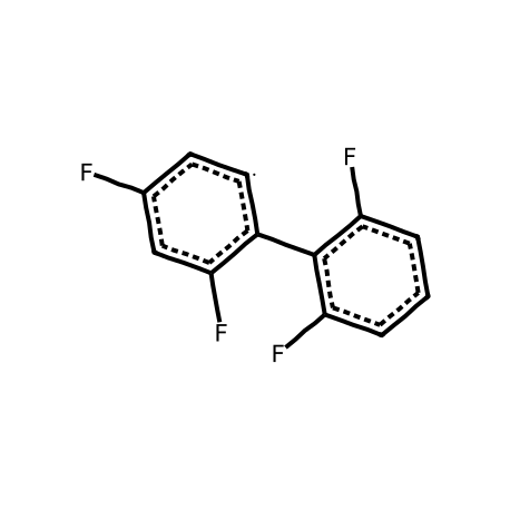 Fc1c[c]c(-c2c(F)cccc2F)c(F)c1